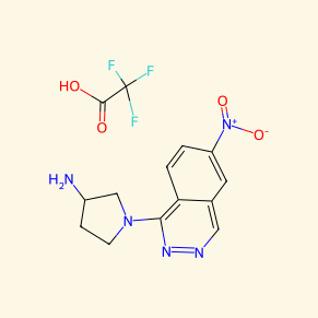 NC1CCN(c2nncc3cc([N+](=O)[O-])ccc23)C1.O=C(O)C(F)(F)F